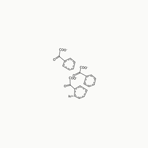 O=C([O-])C(=O)c1ccccc1.O=C([O-])C(=O)c1ccccc1.O=C([O-])C(=O)c1ccccc1.[In+3]